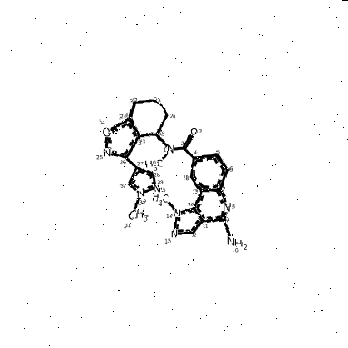 CN(C(=O)c1ccc2nc(N)c3cnn(C)c3c2c1)C1CCCc2onc(-c3cnn(C)c3)c21